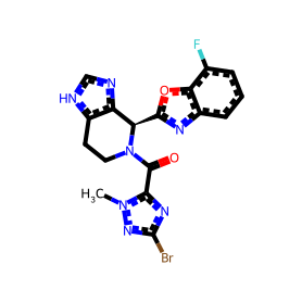 Cn1nc(Br)nc1C(=O)N1CCc2[nH]cnc2[C@H]1c1nc2cccc(F)c2o1